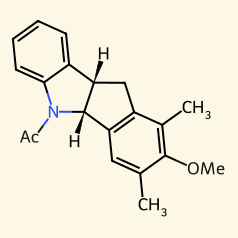 COc1c(C)cc2c(c1C)C[C@H]1c3ccccc3N(C(C)=O)[C@@H]21